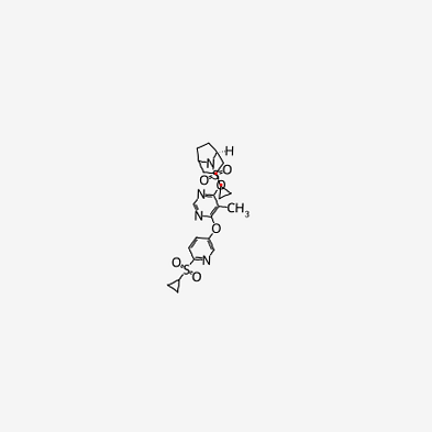 Cc1c(Oc2ccc(S(=O)(=O)C3CC3)nc2)ncnc1OC1CC2CC[C@@H](C1)N2S(=O)(=O)C1CC1